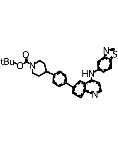 CC(C)(C)OC(=O)N1CCC(c2ccc(-c3ccc4nccc(Nc5ccc6scnc6c5)c4c3)cc2)CC1